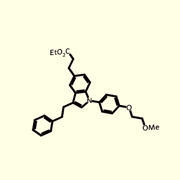 CCOC(=O)CCc1ccc2c(c1)c(CCc1ccccc1)cn2-c1ccc(OCCOC)cc1